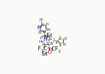 CCOC(C(F)(F)F)(C(F)(F)F)C1(CCc2cccs2)CCN(C(C)(CC)c2ccc(C)nc2)C1